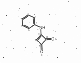 O=c1cc(Nc2ccccc2)c1=O